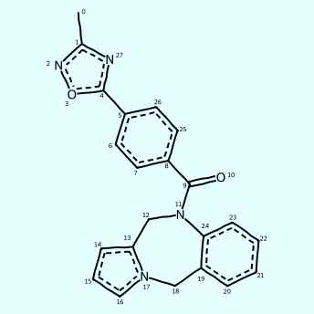 Cc1noc(-c2ccc(C(=O)N3Cc4cccn4Cc4ccccc43)cc2)n1